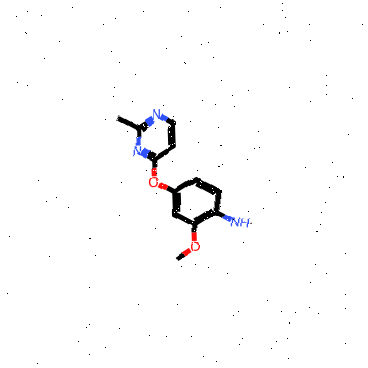 COc1cc(Oc2ccnc(C)n2)ccc1[NH]